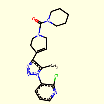 Cc1c(C2=CCN(C(=O)N3CCCCC3)CC2)nnn1-c1cccnc1Cl